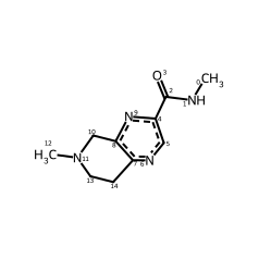 CNC(=O)c1cnc2c(n1)CN(C)CC2